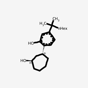 CCCCCCC(C)(C)c1ccc([C@@H]2CCCC[C@@H](O)C2)c(O)c1